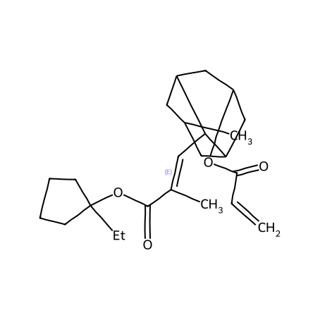 C=CC(=O)OC1(C)C2CC3CC1CC(C2)C3/C=C(\C)C(=O)OC1(CC)CCCC1